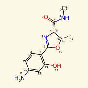 CCNC(=O)[C@H]1N=C(c2ccc(N)cc2O)O[C@H]1C